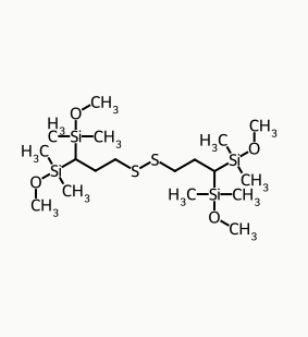 CO[Si](C)(C)C(CCSSCCC([Si](C)(C)OC)[Si](C)(C)OC)[Si](C)(C)OC